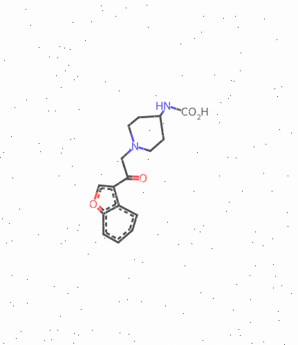 O=C(O)NC1CCN(CC(=O)c2coc3ccccc23)CC1